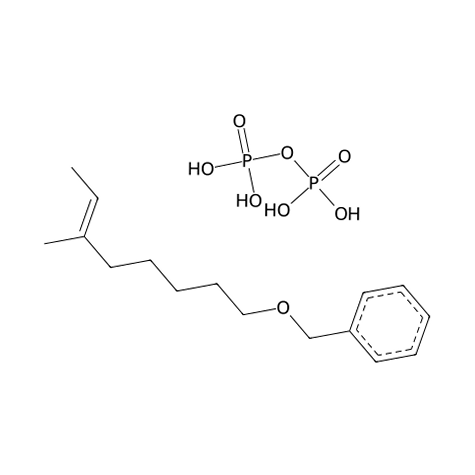 CC=C(C)CCCCCOCc1ccccc1.O=P(O)(O)OP(=O)(O)O